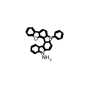 NN1C2=C(C3C=CC=CC31)C1c3c(ccc4c3oc3ccccc34)N(c3ccccc3)C1C=C2